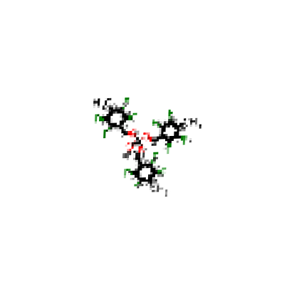 CCCC[O][Zr]([O]Cc1c(F)c(F)c(C)c(F)c1F)([O]Cc1c(F)c(F)c(C)c(F)c1F)[O]Cc1c(F)c(F)c(C)c(F)c1F